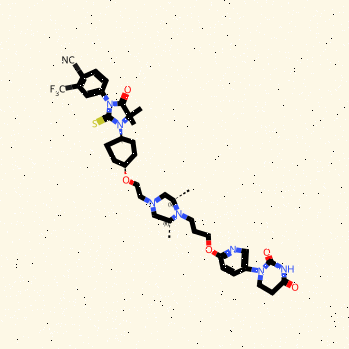 C[C@@H]1CN(CCO[C@H]2CC[C@H](N3C(=S)N(c4ccc(C#N)c(C(F)(F)F)c4)C(=O)C3(C)C)CC2)C[C@H](C)N1CCCOc1ccc(N2CCC(=O)NC2=O)cn1